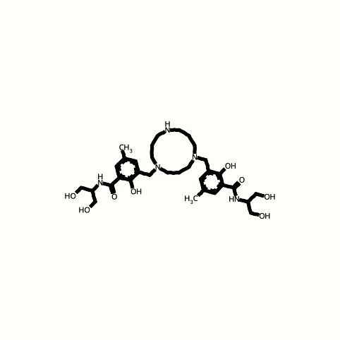 Cc1cc(CN2CCCNCCCN(Cc3cc(C)cc(C(=O)NC(CO)CO)c3O)CCC2)c(O)c(C(=O)NC(CO)CO)c1